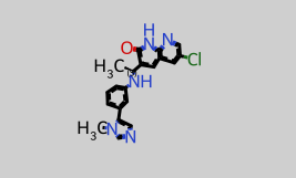 C[C@H](Nc1cccc(-c2cncn2C)c1)c1cc2cc(Cl)cnc2[nH]c1=O